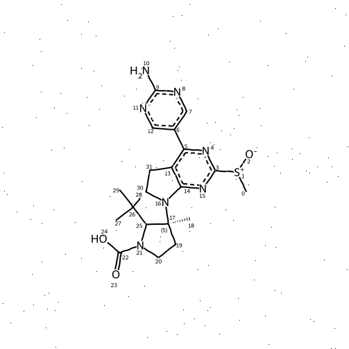 C[S+]([O-])c1nc(-c2cnc(N)nc2)c2c(n1)N([C@@]1(C)CCN(C(=O)O)C1C(C)(C)C)CC2